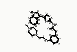 CN1CCN(CCOc2cccc(CC(=O)Nc3nc(-c4c[nH]c5ncccc45)cs3)c2)CC1